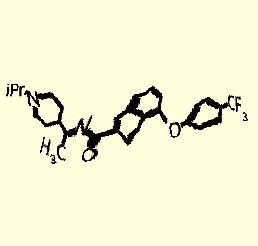 C/C(=N\C(=O)c1ccc2c(Oc3ccc(C(F)(F)F)cc3)cccc2c1)C1CCN(C(C)C)CC1